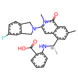 Cc1cc([C@H](C)Nc2ccccc2C(=O)O)c2cc(N3Cc4ccc(F)cc4C3)n(C)c(=O)c2c1